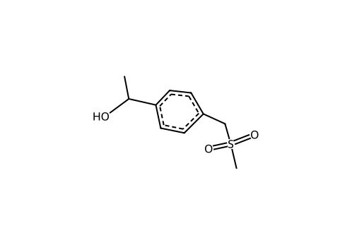 CC(O)c1ccc(CS(C)(=O)=O)cc1